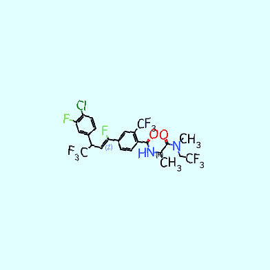 C[C@@H](NC(=O)c1ccc(/C(F)=C/C(c2ccc(Cl)c(F)c2)C(F)(F)F)cc1C(F)(F)F)C(=O)N(C)CC(F)(F)F